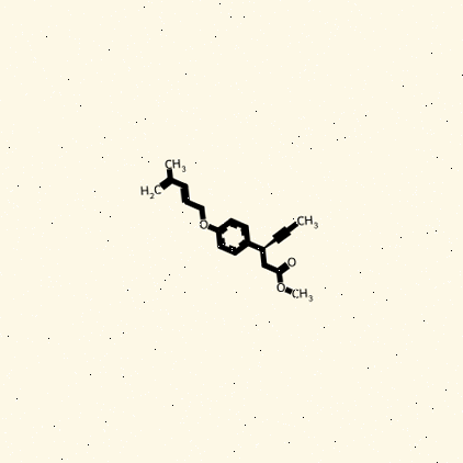 C=C(C)/C=C/COc1ccc([C@@H](C#CC)CC(=O)OC)cc1